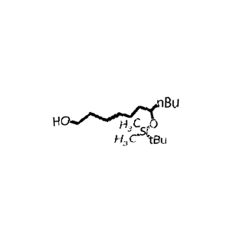 CCCCC(CCCCCCO)O[Si](C)(C)C(C)(C)C